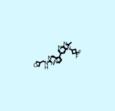 Cc1nc2ncc(-c3ccn4nc(NCC5COC5)ncc34)cc2n1C1CC(F)(F)C1